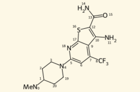 CNC1CCN(c2cc(C(F)(F)F)c3c(N)c(C(N)=O)sc3n2)CC1